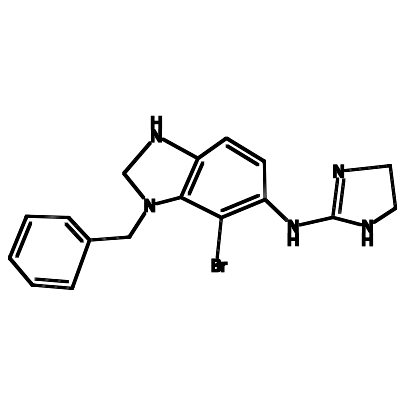 Brc1c(NC2=NCCN2)ccc2c1N(Cc1ccccc1)CN2